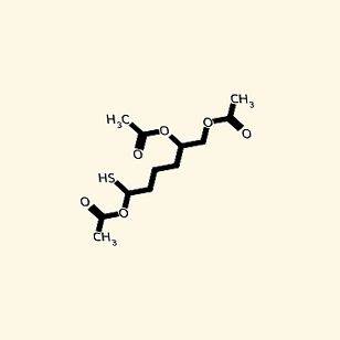 CC(=O)OCC(CCCC(S)OC(C)=O)OC(C)=O